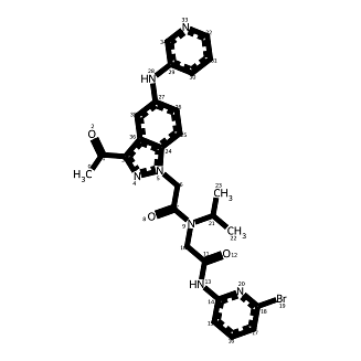 CC(=O)c1nn(CC(=O)N(CC(=O)Nc2cccc(Br)n2)C(C)C)c2ccc(Nc3cccnc3)cc12